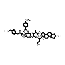 COc1ccc(C(=O)OC2C(OC3C(O)COC(O[C@H]4C[C@H]5[C@@H]6CC=C7C[C@@H](O)CC[C@]7(C)C6CC[C@]5(C)[C@@]4(O)[C@H](C)C(=O)CCC(C)C)C3C)OCC(O)C2OC(=O)NCc2ccc(CN)cc2)cc1